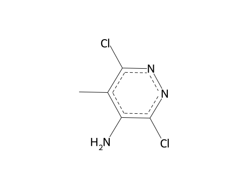 Cc1c(Cl)nnc(Cl)c1N